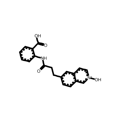 O=C(CCc1ccc2c[n+](O)ccc2c1)Nc1ccccc1C(=O)O